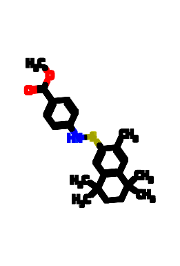 COC(=O)c1ccc(NSc2cc3c(cc2C)C(C)(C)CCC3(C)C)cc1